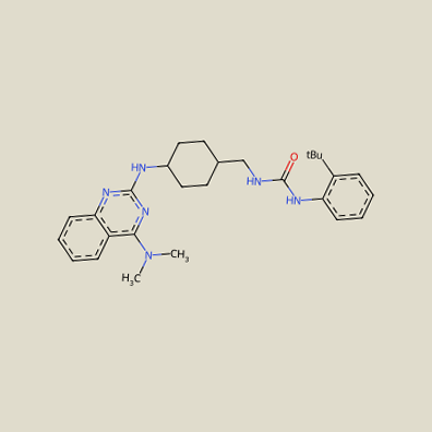 CN(C)c1nc(NC2CCC(CNC(=O)Nc3ccccc3C(C)(C)C)CC2)nc2ccccc12